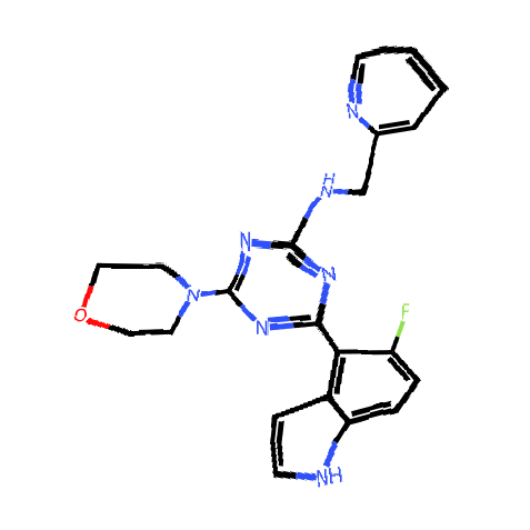 Fc1ccc2[nH]ccc2c1-c1nc(NCc2ccccn2)nc(N2CCOCC2)n1